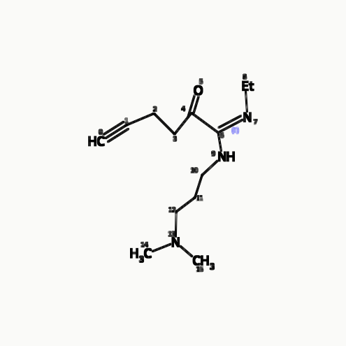 C#CCCC(=O)/C(=N\CC)NCCCN(C)C